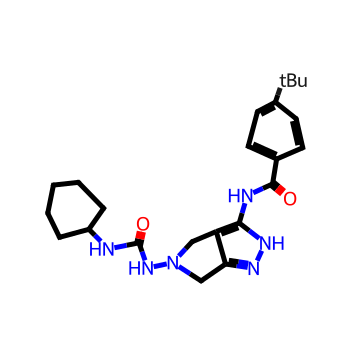 CC(C)(C)c1ccc(C(=O)Nc2[nH]nc3c2CN(NC(=O)NC2CCCCC2)C3)cc1